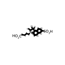 CC1=[N+](CCCCC(=O)O)c2ccc3cc(S(=O)(=O)O)ccc3c2C1(C)C